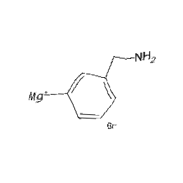 NCc1ccc[c]([Mg+])c1.[Br-]